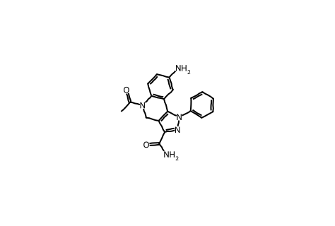 CC(=O)N1Cc2c(C(N)=O)nn(-c3ccccc3)c2-c2cc(N)ccc21